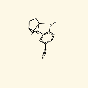 COc1ccc(C#N)cc1C1CC2CCC1(C)C2(C)C